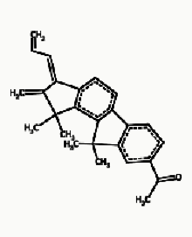 C=C/C=C1\C(=C)C(C)(C)c2c1ccc1c2C(C)(C)c2cc(C(C)=O)ccc2-1